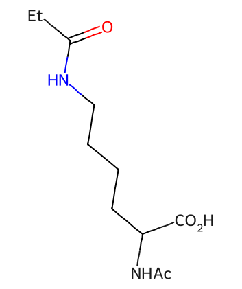 CCC(=O)NCCCCC(NC(C)=O)C(=O)O